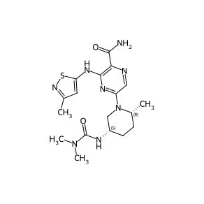 Cc1cc(Nc2nc(N3C[C@@H](NC(=O)N(C)C)CC[C@H]3C)cnc2C(N)=O)sn1